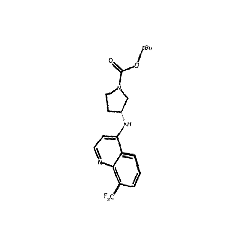 CC(C)(C)OC(=O)N1CC[C@@H](Nc2ccnc3c(C(F)(F)F)cccc23)C1